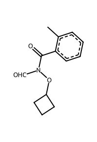 Cc1ccccc1C(=O)N(C=O)OC1CCC1